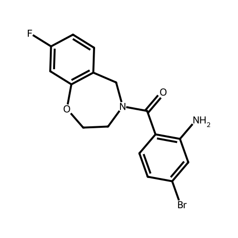 Nc1cc(Br)ccc1C(=O)N1CCOc2cc(F)ccc2C1